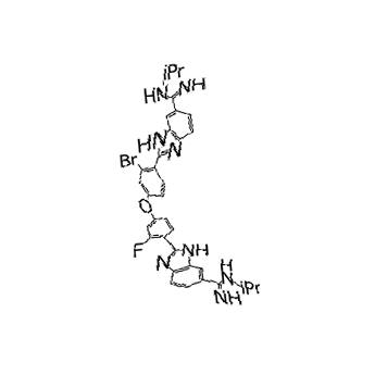 CC(C)NC(=N)c1ccc2nc(-c3ccc(Oc4ccc(-c5nc6ccc(C(=N)NC(C)C)cc6[nH]5)c(Br)c4)cc3F)[nH]c2c1